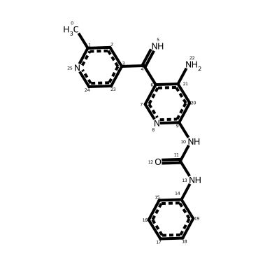 Cc1cc(C(=N)c2cnc(NC(=O)Nc3ccccc3)cc2N)ccn1